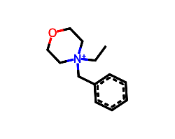 CC[N+]1(Cc2ccccc2)CCOCC1